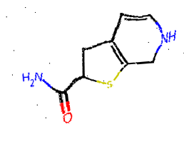 NC(=O)C1CC2=C(CNC=C2)S1